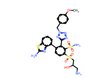 COc1ccc(Cn2nnc(-c3c(-c4cccc5sc(N)nc45)ccc(S(=O)(=O)CC(O)CN)c3S(N)(=O)=O)n2)cc1